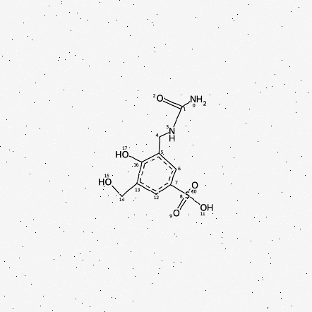 NC(=O)NCc1cc(S(=O)(=O)O)cc(CO)c1O